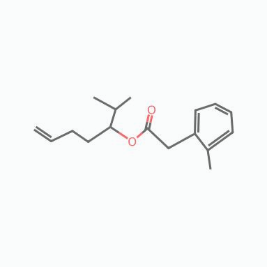 C=CCCC(OC(=O)Cc1ccccc1C)C(C)C